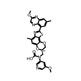 COc1cncc(N(C[C@@H]2COc3c(cc(C)c4nc(-c5cc(C)cc6nc(OC)cnc56)sc34)O2)C(=O)O)c1